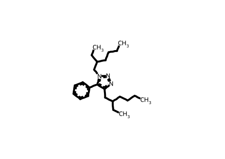 CCCCC(CC)Cc1nnn(CC(CC)CCCC)c1-c1ccccc1